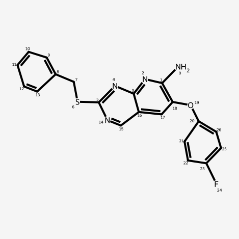 Nc1nc2nc(SCc3ccccc3)ncc2cc1Oc1ccc(F)cc1